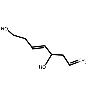 C=CCC(O)C=CCCO